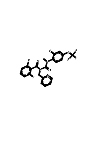 CN(C(=O)N(Cc1ccccn1)C(=O)c1c(F)cccc1F)c1ccc(SC(F)(F)F)cc1F